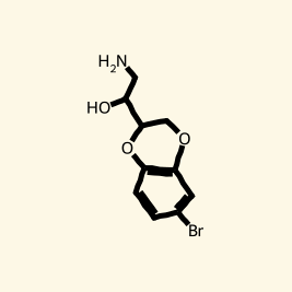 NCC(O)C1COc2cc(Br)ccc2O1